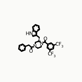 O=C(Cc1ccccc1)N1CCN(C(=O)c2cc(C(F)(F)F)cc(C(F)(F)F)c2)[C@H](Cc2c[nH]c3ccccc23)C1